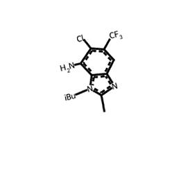 CCC(C)n1c(C)nc2cc(C(F)(F)F)c(Cl)c(N)c21